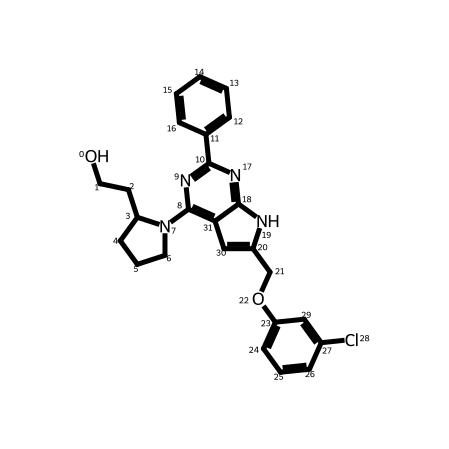 OCCC1CCCN1c1nc(-c2ccccc2)nc2[nH]c(COc3cccc(Cl)c3)cc12